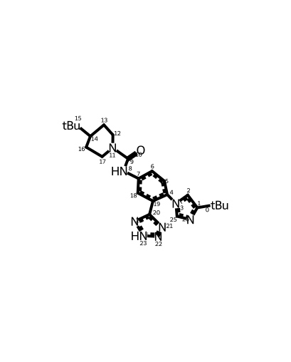 CC(C)(C)c1cn(-c2ccc(NC(=O)N3CCC(C(C)(C)C)CC3)cc2-c2nn[nH]n2)cn1